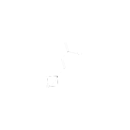 C=C(N)/C=C/C12ON(O1)O2